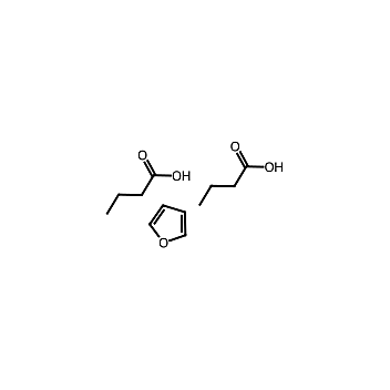 CCCC(=O)O.CCCC(=O)O.c1ccoc1